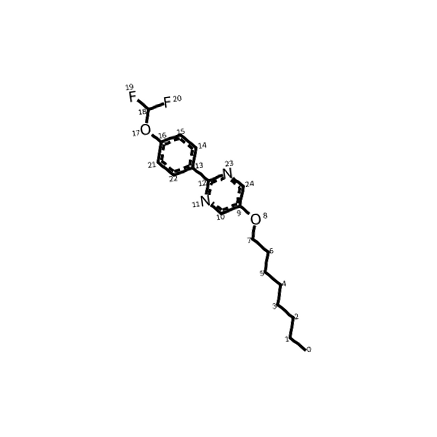 CCCCCCCCOc1cnc(-c2ccc(OC(F)F)cc2)nc1